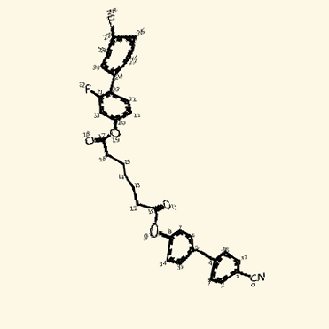 N#Cc1ccc(-c2ccc(OC(=O)CCCCCC(=O)Oc3ccc(-c4ccc(F)cc4)c(F)c3)cc2)cc1